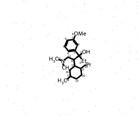 CCC(O)(c1cccc(OC)c1)C(CN(C)C)C1CC(C)CCC1C(C)C